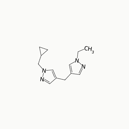 CCn1cc(Cc2cnn(CC3CC3)c2)cn1